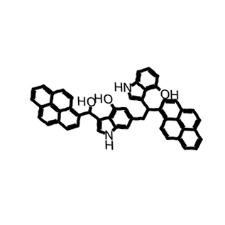 Oc1cc(CC(c2ccc3ccc4cccc5ccc2c3c45)c2c[nH]c3cccc(O)c23)cc2[nH]cc(C(O)c3ccc4ccc5cccc6ccc3c4c56)c12